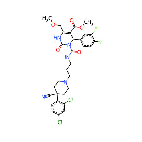 COCC1=C(C(=O)OC)C(c2ccc(F)c(F)c2)N(C(=O)NCCCN2CCC(C#N)(c3ccc(Cl)cc3Cl)CC2)C(=O)N1